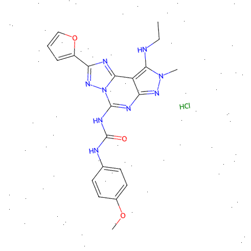 CCNc1c2c(nc(NC(=O)Nc3ccc(OC)cc3)n3nc(-c4ccco4)nc23)nn1C.Cl